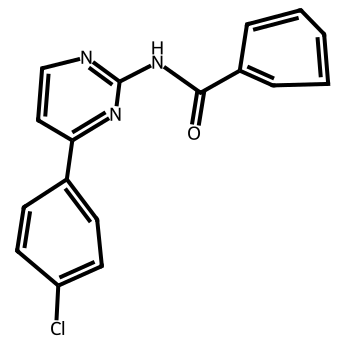 O=C(Nc1nccc(-c2ccc(Cl)cc2)n1)c1ccccc1